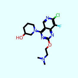 CN(C)CCOc1nc(N2CCCC(O)C2)c2cnc(Cl)c(F)c2n1